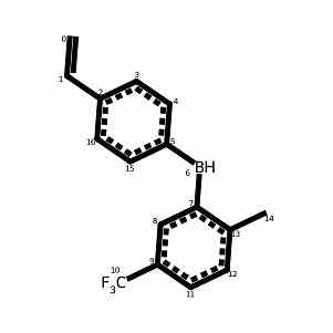 C=Cc1ccc(Bc2cc(C(F)(F)F)ccc2C)cc1